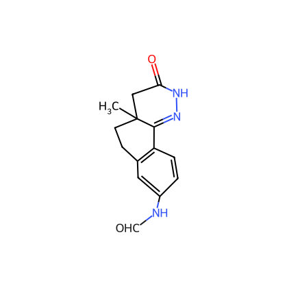 CC12CCc3cc(NC=O)ccc3C1=NNC(=O)C2